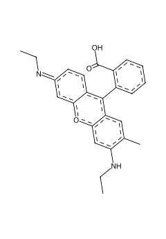 CC/N=c1\ccc2c(-c3ccccc3C(=O)O)c3cc(C)c(NCC)cc3oc-2c1